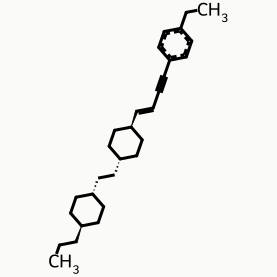 CCC[C@H]1CC[C@H](CC[C@H]2CC[C@H](C=CC#Cc3ccc(CC)cc3)CC2)CC1